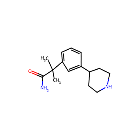 CC(C)(C(N)=O)c1cccc(C2CCNCC2)c1